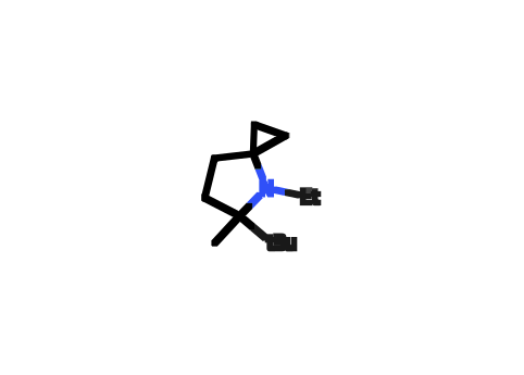 CCN1C2(CC2)CCC1(C)C(C)(C)C